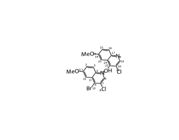 COc1ccc2ncc(Cl)c(Br)c2c1.COc1ccc2ncc(Cl)c(O)c2c1